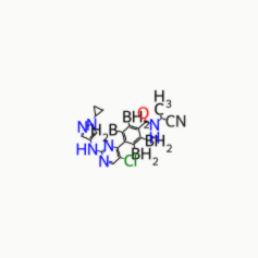 Bc1c(B)c(-c2nc(Nc3cnn(C4CC4)c3)ncc2Cl)c(B)c(B)c1C(=O)N[C@@H](C)C#N